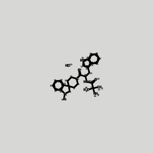 CC(=O)N1CC2(CCN(C(=O)C(Cc3c[nH]c4ccccc34)NC(=O)C(C)(C)N)CC2)c2ccccc21.Cl